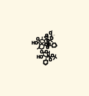 CO[C@H](C)C[C@H]1OC[C@@]1(OC(C)=O)[C@@H]1[C@H](C)C(=O)[C@H](O)C2=C(C)[C@@H](OC(=O)[C@H](O)[C@@H](NC(=O)OC(C)(C)C)c3ccccc3)C[C@@](O)([C@H]1OC(=O)c1ccccc1)C2(C)C